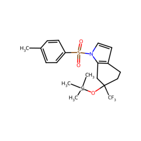 Cc1ccc(S(=O)(=O)n2ccc3c2CC(O[Si](C)(C)C)(C(F)(F)F)CC3)cc1